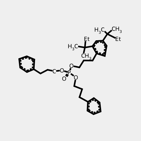 CCC(C)(C)c1ccc(CCCOP(=O)(OCCCc2ccccc2)OCCCc2ccccc2)c(C(C)(C)CC)c1